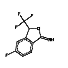 N=C1OC(C(F)(F)F)c2cc(F)ccc21